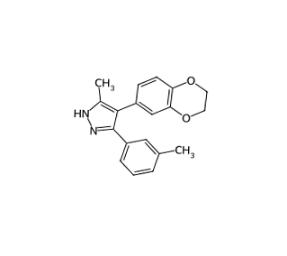 Cc1cccc(-c2n[nH]c(C)c2-c2ccc3c(c2)OCCO3)c1